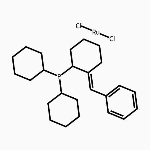 C(=C1CCCCC1P(C1CCCCC1)C1CCCCC1)c1ccccc1.[Cl][Ru][Cl]